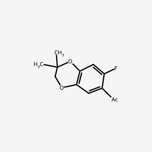 CC(=O)c1cc2c(cc1F)OC(C)(C)CO2